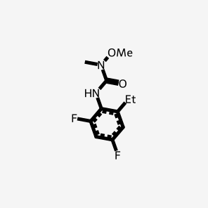 CCc1cc(F)cc(F)c1NC(=O)N(C)OC